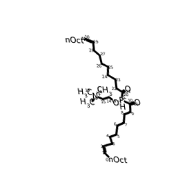 CCCCCCCC/C=C\CCCCCCCC(=O)[PH-](OCC[N+](C)(C)C)C(=O)CCCCCCC/C=C\CCCCCCCC